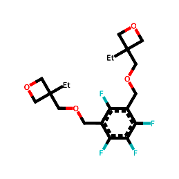 CCC1(COCc2c(F)c(F)c(F)c(COCC3(CC)COC3)c2F)COC1